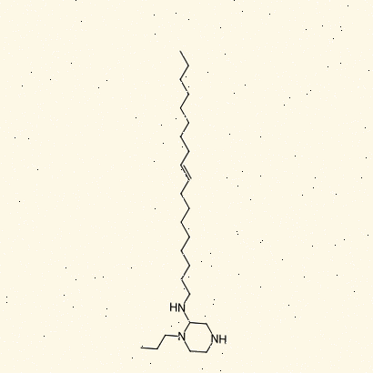 CCCCCCCCC=CCCCCCCCCNC1CNCCN1CCC